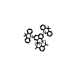 CC(C)c1cccc(C(C)C)c1N1C(=O)c2cc(N3c4ccccc4C(C)(C)c4ccccc43)cc3cc(N4c5ccccc5C(C)(C)c5ccccc54)cc(c23)C1=O